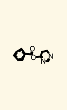 O=C(OC1=NC=NCC1)c1ccccc1